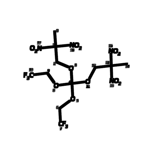 CC(COC(OCC(F)(F)F)(OCC(F)(F)F)OCC(C)([N+](=O)[O-])[N+](=O)[O-])([N+](=O)[O-])[N+](=O)[O-]